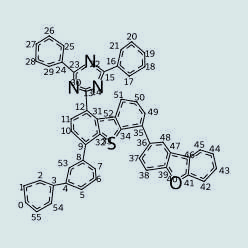 c1ccc(-c2cccc(-c3ccc(-c4nc(-c5ccccc5)nc(-c5ccccc5)n4)c4c3sc3c(-c5ccc6oc7ccccc7c6c5)cccc34)c2)cc1